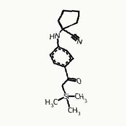 C[Si](C)(C)CC(=O)c1ccc(NC2(C#N)CCCC2)cc1